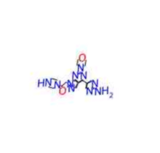 Nc1ncc(-c2nc(N3CCOCC3)nc3c2cnn3CC(=O)N2CCNCC2)cn1